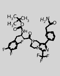 CC(C)(C)OC(=O)N[C@@H](CC(=O)N1CCn2c(C(F)(F)F)nc(-c3cccc(CC(N)=O)c3)c2C1)Cc1cc(F)c(F)cc1F